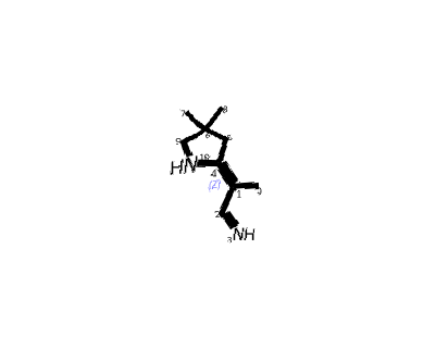 C/C(C=N)=C1\CC(C)(C)CN1